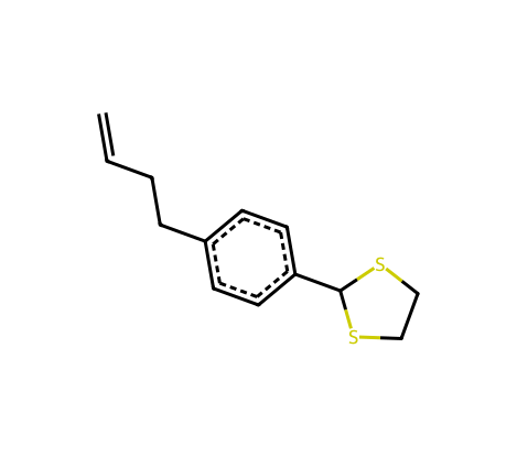 C=CCCc1ccc(C2SCCS2)cc1